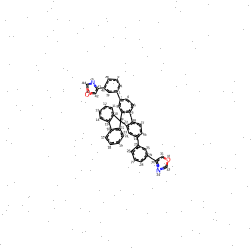 c1cc(-c2ccc3c(c2)C2(c4ccccc4-c4ccccc42)c2cc(-c4cccc(-c5cocn5)c4)ccc2-3)cc(-c2cocn2)c1